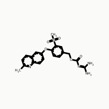 Cc1ccc2cc(Oc3ccc(COC(=O)N=C(N)N)cc3S(C)(=O)=O)ccc2n1